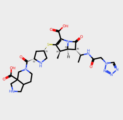 CC(NC(=O)Cn1cnnn1)[C@H]1C(=O)N2C(C(=O)O)=C(S[C@@H]3CN[C@H](C(=O)N4CCC5CNCC5(C(=O)O)C4)C3)[C@H](C)[C@H]12